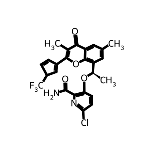 Cc1cc([C@@H](C)Oc2ccc(Cl)nc2C(N)=O)c2oc(C3=CC(C(F)(F)F)C=C3)c(C)c(=O)c2c1